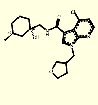 C[C@H]1CCC[C@@](O)(CNC(=O)c2cn(CC3CCOC3)c3nccc(Cl)c23)C1